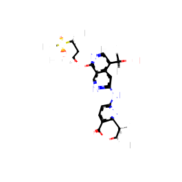 CCC(C)(O)c1cnc(O[C@H](C)C[C@@H](C)S(C)(=O)=O)c2cnc(Nc3ccc4c(n3)[C@@H](C)[C@H](C)OC4=O)cc12